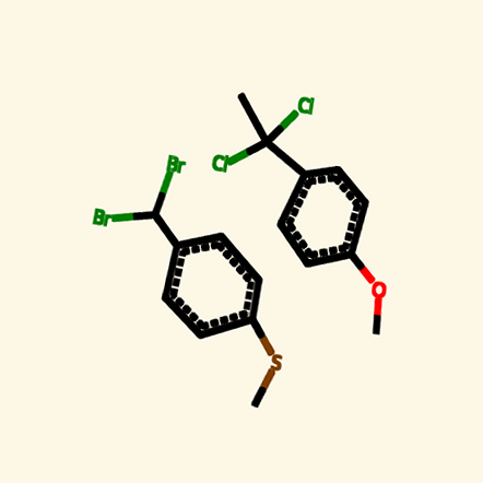 COc1ccc(C(C)(Cl)Cl)cc1.CSc1ccc(C(Br)Br)cc1